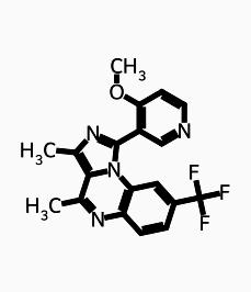 COc1ccncc1-c1nc(C)c2c(C)nc3ccc(C(F)(F)F)cc3n12